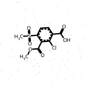 COC(=O)c1c(S(C)(=O)=O)ccc(C(=O)O)c1Cl